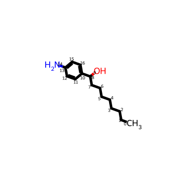 CCCCCCCCC(O)c1ccc(N)cc1